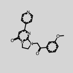 COc1cccc(C(=O)CN2CCn3c2nc(-c2ccncc2)cc3=O)c1